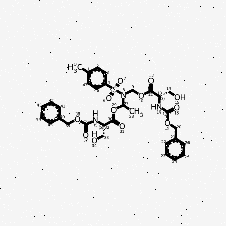 Cc1ccc(S(=O)(=O)N(COC(=O)[C@H](CO)NC(=O)OCc2ccccc2)C(C)OC(=O)[C@H](CO)NC(=O)OCc2ccccc2)cc1